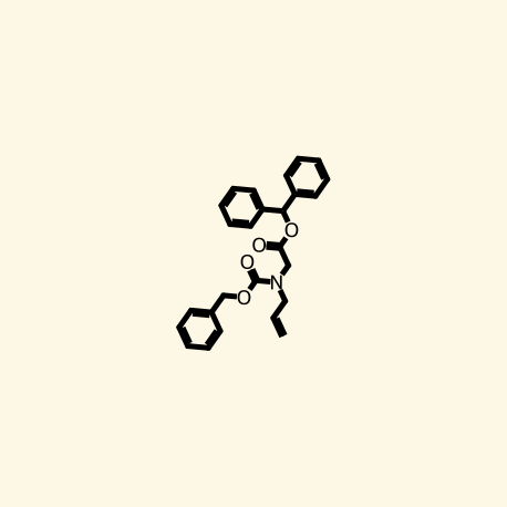 C=CCN(CC(=O)OC(c1ccccc1)c1ccccc1)C(=O)OCc1ccccc1